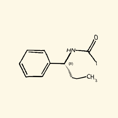 CC[C@@H](NC(=O)I)c1ccccc1